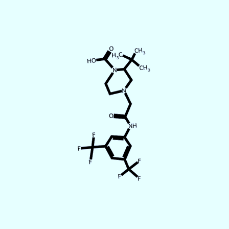 CC(C)(C)C1CN(CC(=O)Nc2cc(C(F)(F)F)cc(C(F)(F)F)c2)CCN1C(=O)O